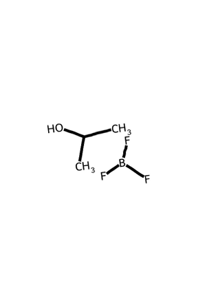 CC(C)O.FB(F)F